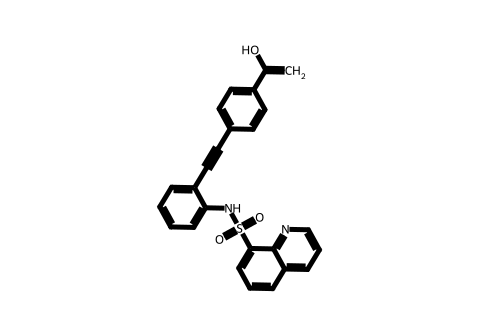 C=C(O)c1ccc(C#Cc2ccccc2NS(=O)(=O)c2cccc3cccnc23)cc1